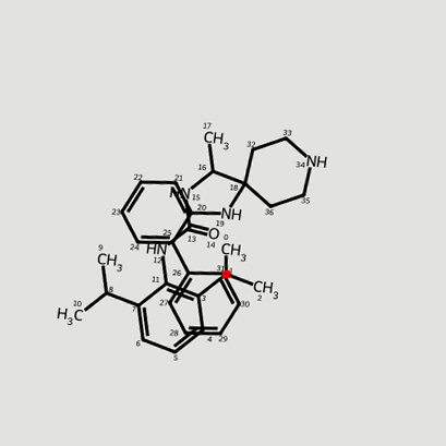 CC(C)c1cccc(C(C)C)c1NC(=O)NC(C)C1(Nc2ccccc2-c2ccccc2)CCNCC1